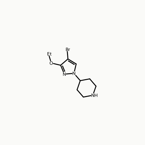 CCOc1nn(C2CCNCC2)cc1Br